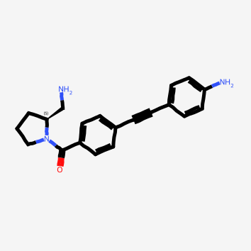 NC[C@@H]1CCCN1C(=O)c1ccc(C#Cc2ccc(N)cc2)cc1